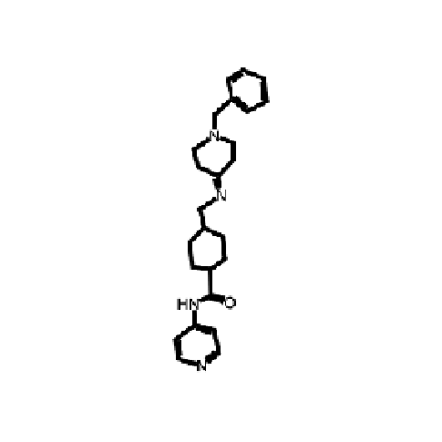 O=C(Nc1ccncc1)C1CCC(CN=C2CCN(Cc3ccccc3)CC2)CC1